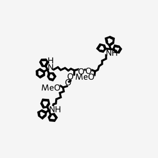 COCC(CCCCCCNC(c1ccccc1)(c1ccccc1)c1ccccc1)COCOCC(CCCCCCNC(c1ccccc1)(c1ccccc1)c1ccccc1)COCOCC(CCCCCCNC(c1ccccc1)(c1ccccc1)c1ccccc1)COC